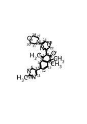 C=C1c2cc(-c3cnc(C)nc3)ccc2C(C)(C)C(=O)C1c1cncc(N2CCOCC2)n1